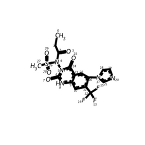 CCC(=O)N(n1c(=O)[nH]c2cc(C(F)(F)F)c(-n3ccnc3)cc2c1=O)S(C)(=O)=O